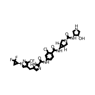 O=C(Nc1ccc(C(=O)NC2[C@H]3CN(C(=O)N[C@H]4CNC[C@@H]4O)C[C@@H]23)c(Cl)c1)c1ncc(Cc2cn([C@H]3CC3(F)F)nc2C(F)(F)F)[nH]1